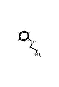 NCCOc1cc[c]cc1